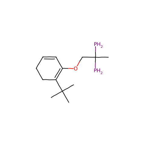 CC(P)(P)COC1=C(C(C)(C)C)CCC=C1